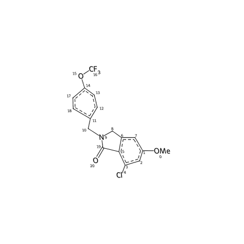 COc1cc(Cl)c2c(c1)CN(Cc1ccc(OC(F)(F)F)cc1)C2=O